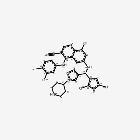 N#Cc1cnc2c(Cl)cc(N[C@H](c3cn(C4CCNCC4)nn3)c3cc(Cl)sc3Cl)cc2c1Nc1ccc(F)c(Cl)c1